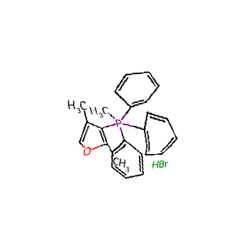 Br.Cc1coc(C)c1P(C)(c1ccccc1)(c1ccccc1)c1ccccc1